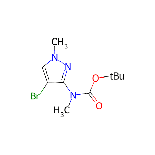 CN(C(=O)OC(C)(C)C)c1nn(C)cc1Br